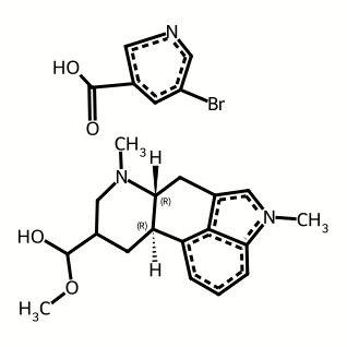 COC(O)C1C[C@@H]2c3cccc4c3c(cn4C)C[C@H]2N(C)C1.O=C(O)c1cncc(Br)c1